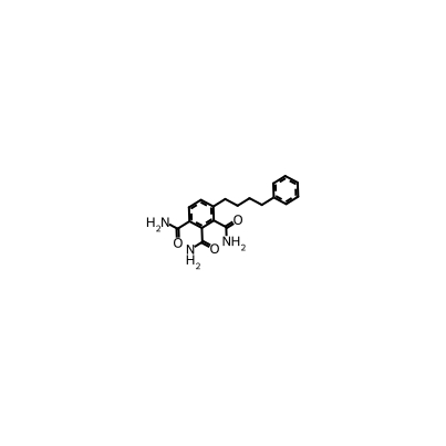 NC(=O)c1ccc(CCCCc2ccccc2)c(C(N)=O)c1C(N)=O